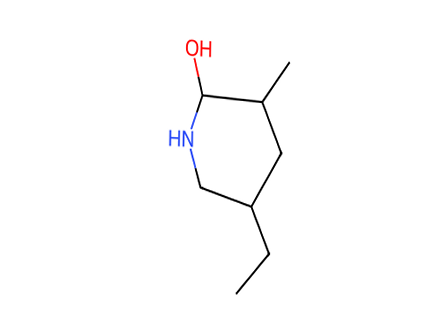 CCC1CNC(O)C(C)C1